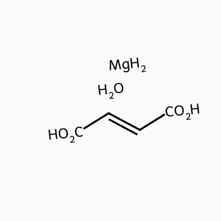 O.O=C(O)/C=C/C(=O)O.[MgH2]